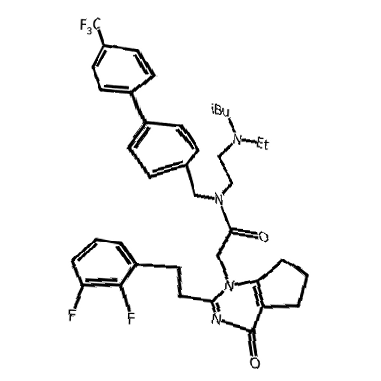 CCC(C)N(CC)CCN(Cc1ccc(-c2ccc(C(F)(F)F)cc2)cc1)C(=O)Cn1c(CCc2cccc(F)c2F)nc(=O)c2c1CCC2